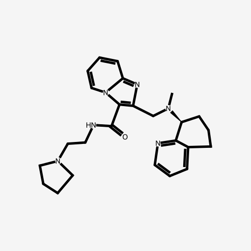 CN(Cc1nc2ccccn2c1C(=O)NCCN1CCCC1)[C@H]1CCCc2cccnc21